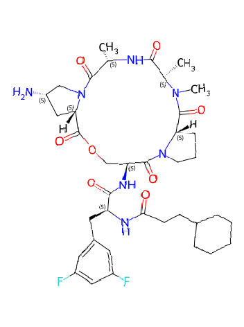 C[C@@H]1NC(=O)[C@H](C)N(C)C(=O)[C@@H]2CCCN2C(=O)[C@@H](NC(=O)[C@H](Cc2cc(F)cc(F)c2)NC(=O)CCC2CCCCC2)COC(=O)[C@@H]2C[C@H](N)CN2C1=O